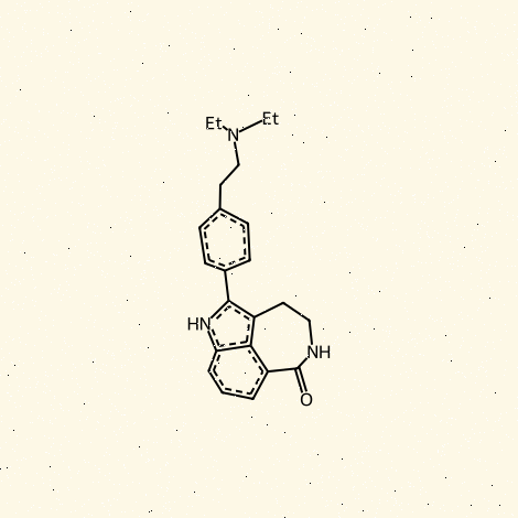 CCN(CC)CCc1ccc(-c2[nH]c3cccc4c3c2CCNC4=O)cc1